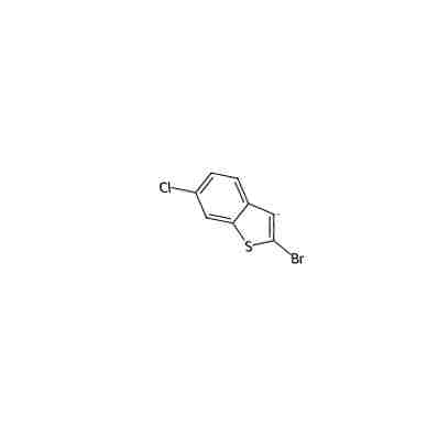 Clc1ccc2[c]c(Br)sc2c1